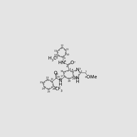 COCc1nc2c(C(=O)Nc3ccccc3C)cc(NC(=O)c3ccccc3C(F)(F)F)cc2[nH]1